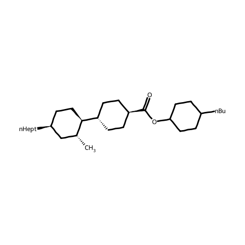 CCCCCCC[C@H]1CC[C@@H]([C@H]2CC[C@H](C(=O)OC3CCC(CCCC)CC3)CC2)[C@H](C)C1